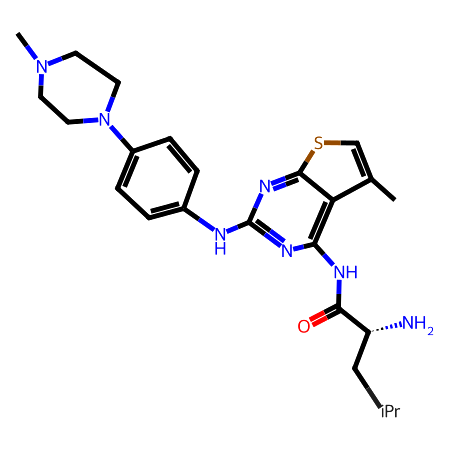 Cc1csc2nc(Nc3ccc(N4CCN(C)CC4)cc3)nc(NC(=O)[C@H](N)CC(C)C)c12